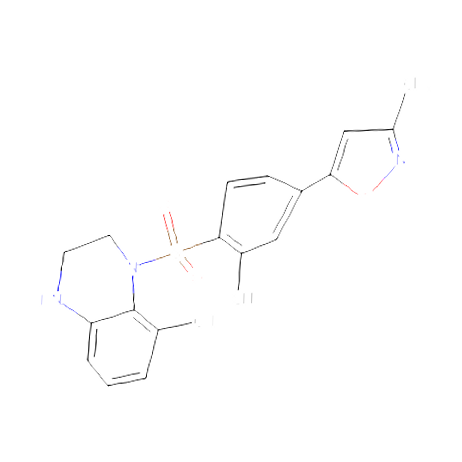 Cc1cc(-c2ccc(S(=O)(=O)N3CCNc4cccc(C)c43)c(C)c2)on1